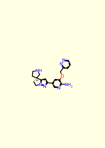 Nc1ncc(-c2cc3n(n2)CC[C@@]32CCNC2)cc1OCc1cccnn1